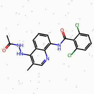 CC(=O)NNc1c(C)cnc2c(NC(=O)c3c(Cl)cccc3Cl)cccc12